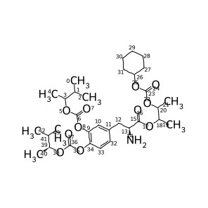 CC(C)C(C)OC(=O)Oc1cc(C[C@H](N)C(=O)OC(C)C(C)OC(=O)OC2CCCCC2)ccc1OC(=O)O[C@@H](C)C(C)C